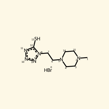 Br.CN1CCN(CCn2nnnc2S)CC1